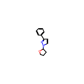 c1ccc(-c2ccn(C3CCCO3)n2)cc1